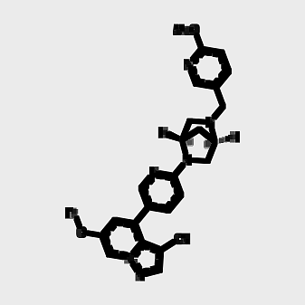 CCOc1cc(-c2ccc(N3C[C@H]4C[C@H]3CN4Cc3ccc(OC)nc3)nc2)c2c(C#N)cnn2c1